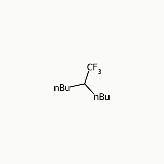 CCCCC(CCCC)C(F)(F)F